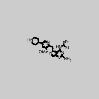 CCCC(CC)Nc1nc(N)nc2cnn(Cc3ncc(C4CCNCC4)cc3OC)c12